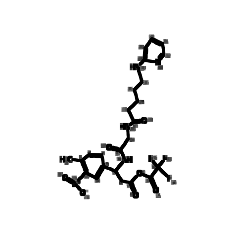 Cc1ccc(C(CC(=O)OC(=O)C(F)(F)F)NC(=O)CNC(=O)CCCCNc2ccccn2)cc1[N+](=O)[O-]